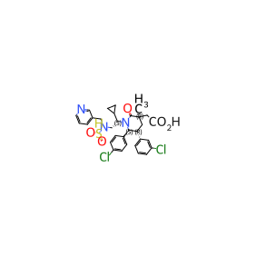 C[C@]1(CC(=O)O)C[C@H](c2cccc(Cl)c2)[C@@H](c2ccc(Cl)cc2)N([C@H](CN(Cc2cccnc2)[SH](=O)=O)C2CC2)C1=O